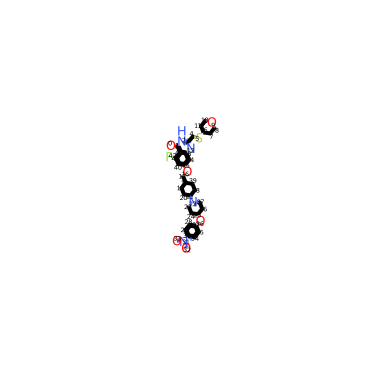 O=c1[nH]c(CSC2CCOCC2)nc2cc(OCC3CCC(N4CCC(Oc5ccc([N+](=O)[O-])cc5)CC4)CC3)cc(F)c12